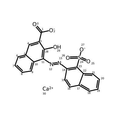 O=C([O-])c1cc2ccccc2c(N=Nc2ccc3ccccc3c2S(=O)(=O)[O-])c1O.[Ca+2]